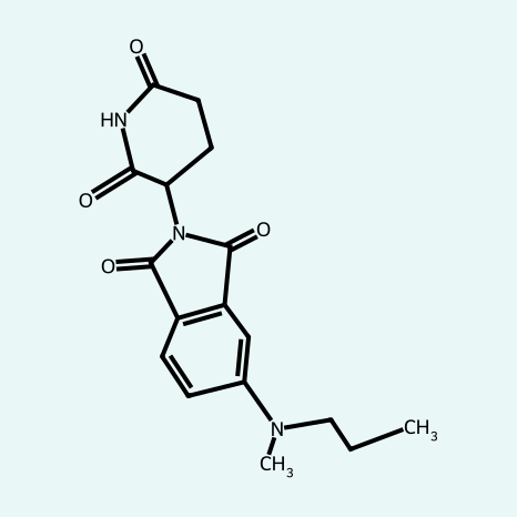 CCCN(C)c1ccc2c(c1)C(=O)N(C1CCC(=O)NC1=O)C2=O